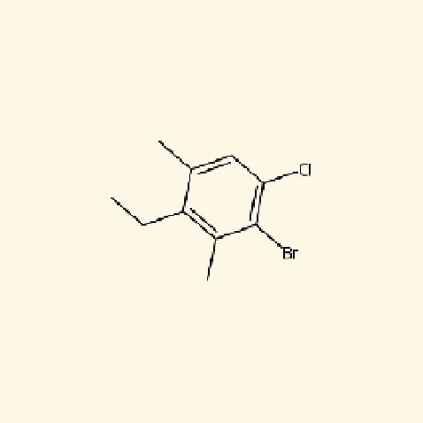 CCc1c(C)cc(Cl)c(Br)c1C